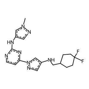 Cn1cc(Nc2nccc(-n3cc(NCC4CCC(F)(F)CC4)cn3)n2)cn1